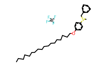 CCCCCCCCCCCCCCCCCCOc1ccc([S+](C)Cc2ccccc2)cc1.F[B-](F)(F)F